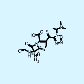 CC(N(C)C)n1nnnc1C(=S)C1=C(C(=O)O)N2C(=O)[C@](N)(NC=O)[C@@H]2SC1